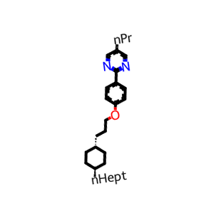 CCCCCCC[C@H]1CC[C@H](CCCOc2ccc(-c3ncc(CCC)cn3)cc2)CC1